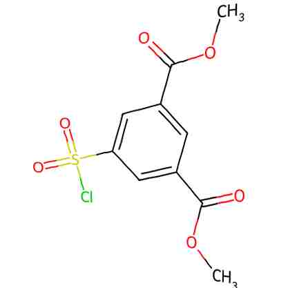 COC(=O)c1cc(C(=O)OC)cc(S(=O)(=O)Cl)c1